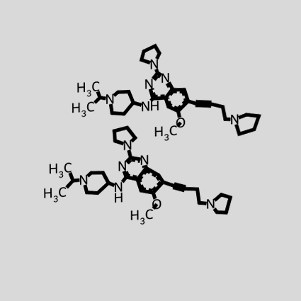 COc1cc2c(NC3CCN(C(C)C)CC3)nc(N3CCCC3)nc2cc1C#CCCN1CCCC1.COc1cc2c(NC3CCN(C(C)C)CC3)nc(N3CCCC3)nc2cc1C#CCCN1CCCC1